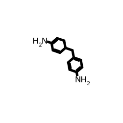 NC1=CCC(Cc2ccc(N)cc2)C=C1